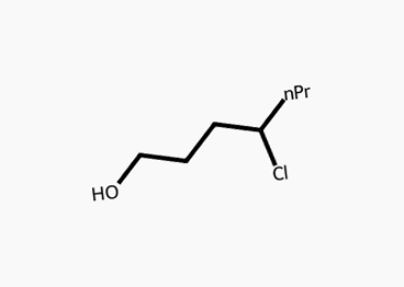 CCCC(Cl)CCCO